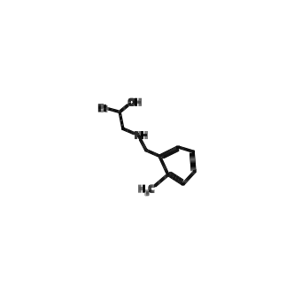 CCC(O)CNCc1ccccc1C